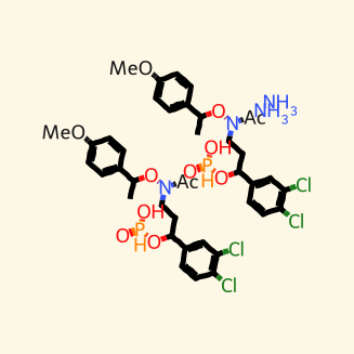 COc1ccc(C(C)ON(CCC(O[PH](=O)O)c2ccc(Cl)c(Cl)c2)C(C)=O)cc1.COc1ccc(C(C)ON(CCC(O[PH](=O)O)c2ccc(Cl)c(Cl)c2)C(C)=O)cc1.N.N